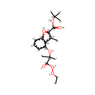 CCOOC(=O)C(C)(C)Oc1cccc2oc(C(=O)OC(C)(C)C)c(C)c12